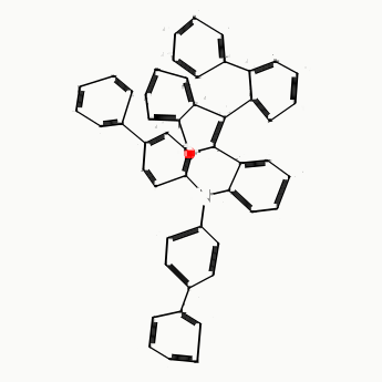 c1ccc(-c2ccc(N(c3ccc(-c4ccccc4)cc3)c3ccccc3-c3oc4ccccc4c3-c3ccccc3-c3ccccc3)cc2)cc1